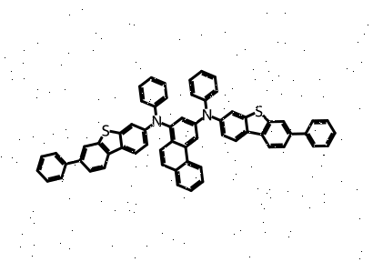 c1ccc(-c2ccc3c(c2)sc2cc(N(c4ccccc4)c4cc(N(c5ccccc5)c5ccc6c(c5)sc5cc(-c7ccccc7)ccc56)c5ccc6ccccc6c5c4)ccc23)cc1